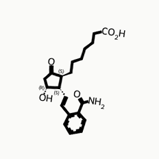 NC(=O)c1ccccc1C=C[C@@H]1[C@H](O)CC(=O)[C@H]1CCCCCCC(=O)O